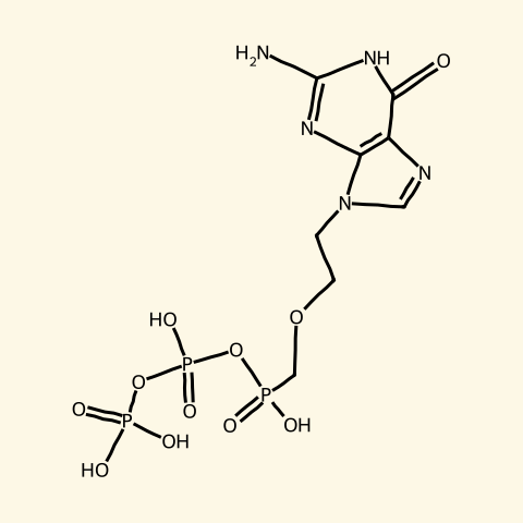 Nc1nc2c(ncn2CCOCP(=O)(O)OP(=O)(O)OP(=O)(O)O)c(=O)[nH]1